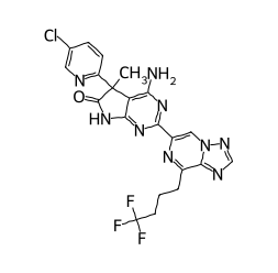 CC1(c2ccc(Cl)cn2)C(=O)Nc2nc(-c3cn4ncnc4c(CCCC(F)(F)F)n3)nc(N)c21